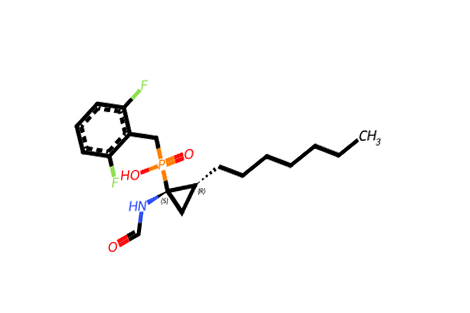 CCCCCCC[C@@H]1C[C@]1(NC=O)P(=O)(O)Cc1c(F)cccc1F